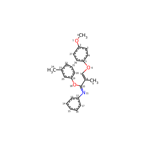 COc1ccc(O/C=C(C)/C(=N/c2ccccc2)Oc2cccc(C)c2)cc1